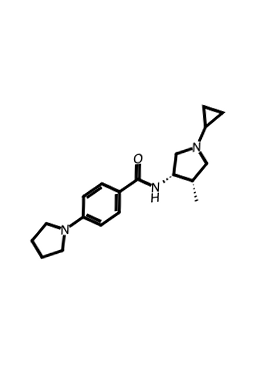 C[C@H]1CN(C2CC2)C[C@H]1NC(=O)c1ccc(N2CCCC2)cc1